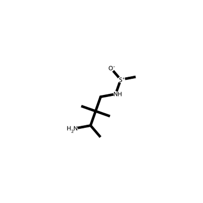 CC(N)C(C)(C)CN[S+](C)[O-]